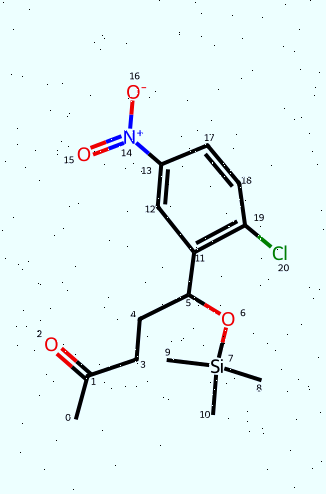 CC(=O)CCC(O[Si](C)(C)C)c1cc([N+](=O)[O-])ccc1Cl